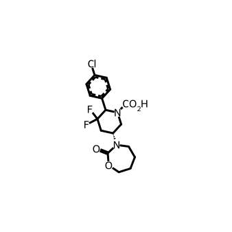 O=C(O)N1C[C@H](N2CCCCOC2=O)CC(F)(F)C1c1ccc(Cl)cc1